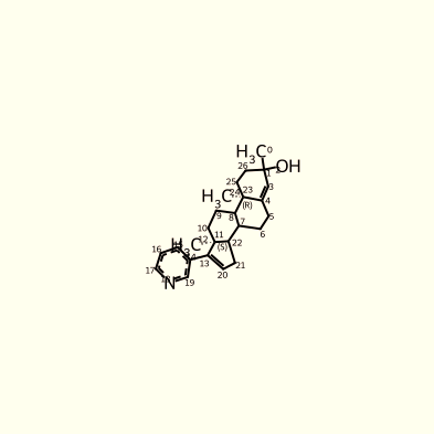 CC1(O)C=C2CCC3C(CC[C@]4(C)C(c5cccnc5)=CCC34)[C@@]2(C)CC1